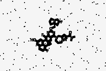 C#Cc1c(F)ccc2cc(O)cc(-c3c(F)cc4c(N5CCCn6nc(C(=O)N(C)C)cc6C5)nc(OC[C@@]56CCCN5C[C@H](F)C6)nc4c3F)c12